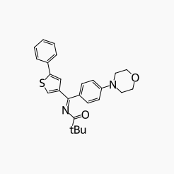 CC(C)(C)C(=O)/N=C(\c1ccc(N2CCOCC2)cc1)c1csc(-c2ccccc2)c1